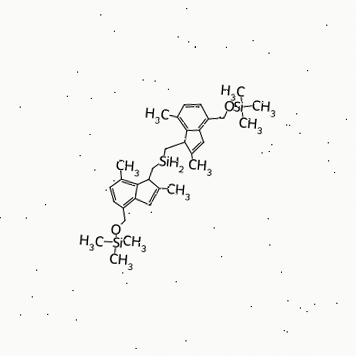 CC1=Cc2c(CO[Si](C)(C)C)ccc(C)c2C1C[SiH2]CC1C(C)=Cc2c(CO[Si](C)(C)C)ccc(C)c21